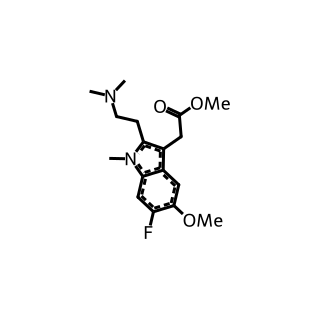 COC(=O)Cc1c(CCN(C)C)n(C)c2cc(F)c(OC)cc12